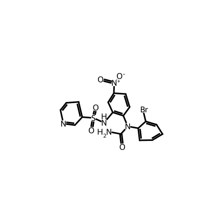 NC(=O)N(c1ccccc1Br)c1ccc([N+](=O)[O-])cc1NS(=O)(=O)c1cccnc1